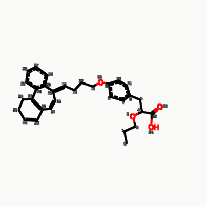 CCCOC(Cc1ccc(OCCCC=C2C=CC3=C(CCC=C3)c3ccccc32)cc1)C(=O)O